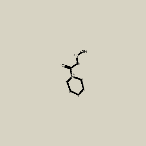 O=C(CSS)N1CCCCC1